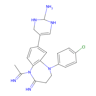 CC(=N)N1C(=N)CCN(c2ccc(Cl)cc2)c2cc(C3=CNC(N)NC3)ccc21